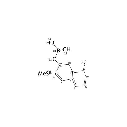 CSc1cc2cccc(Cl)c2cc1OB(O)O